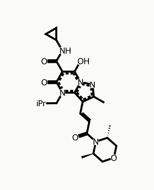 Cc1nn2c(O)c(C(=O)NC3CC3)c(=O)n(CC(C)C)c2c1/C=C/C(=O)N1[C@H](C)COC[C@H]1C